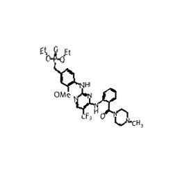 CCOP(=O)(Cc1ccc(Nc2ncc(C(F)(F)F)c(Nc3ccccc3C(=O)N3CCN(C)CC3)n2)c(OC)c1)OCC